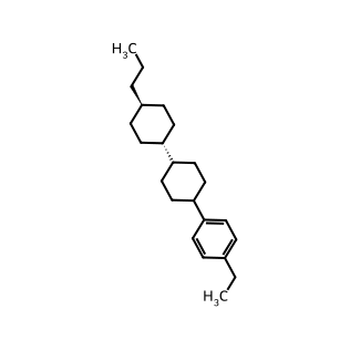 CCC[C@H]1CC[C@H](C2CCC(c3ccc(CC)cc3)CC2)CC1